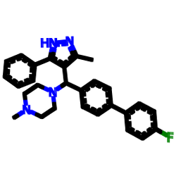 Cc1n[nH]c(-c2ccccc2)c1C(c1ccc(-c2ccc(F)cc2)cc1)N1CCN(C)CC1